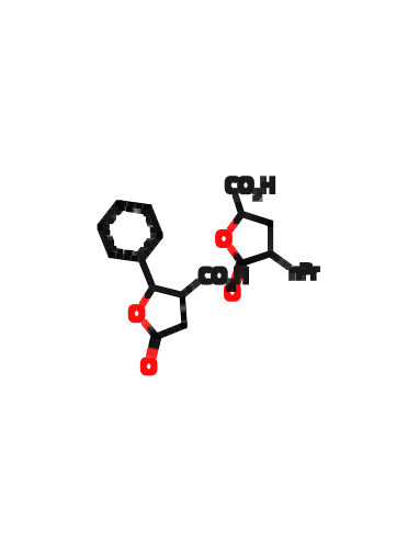 CCCC1CC(C(=O)O)OC1=O.O=C1CC(C(=O)O)C(c2ccccc2)O1